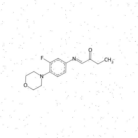 [CH2]CC(=O)C=Nc1ccc(N2CCOCC2)c(F)c1